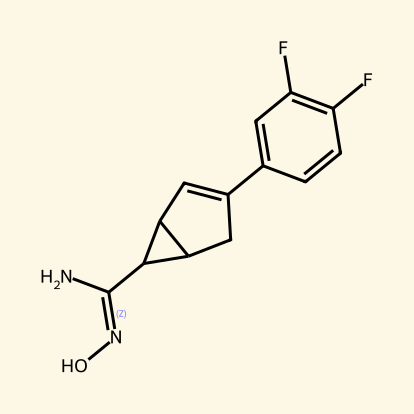 N/C(=N\O)C1C2C=C(c3ccc(F)c(F)c3)CC21